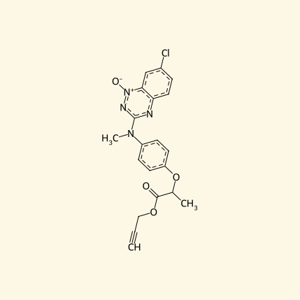 C#CCOC(=O)C(C)Oc1ccc(N(C)c2nc3ccc(Cl)cc3[n+]([O-])n2)cc1